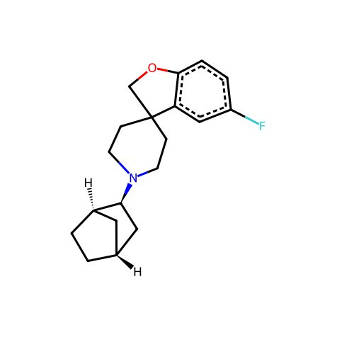 Fc1ccc2c(c1)C1(CCN([C@H]3C[C@@H]4CC[C@@H]3C4)CC1)CO2